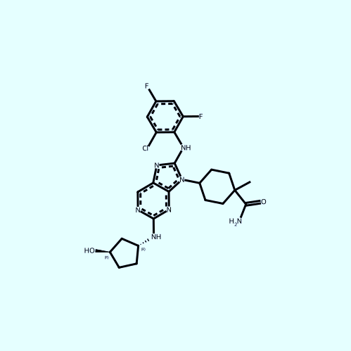 CC1(C(N)=O)CCC(n2c(Nc3c(F)cc(F)cc3Cl)nc3cnc(N[C@@H]4CC[C@@H](O)C4)nc32)CC1